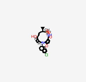 C[C@H]1C(C2CC2)C/C=C/[C@H](O)[C@@H]2CC[C@H]2CN2C[C@@]3(CCCc4cc(Cl)ccc43)COc3ccc(cc32)C(=O)NS1(=O)=O